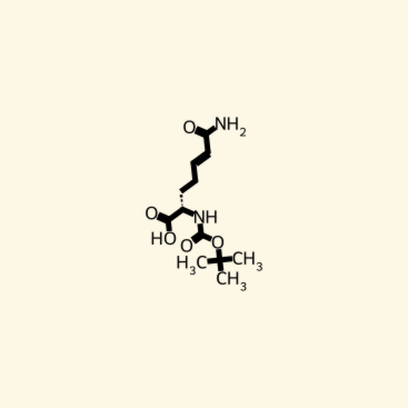 CC(C)(C)OC(=O)N[C@@H](CC/C=C/C(N)=O)C(=O)O